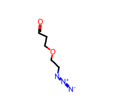 [N-]=[N+]=NCCOCCC=O